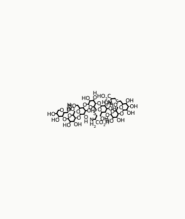 N[C@H](CSCC1O[C@@H](O[C@@H]2C(CO)O[C@H](O[C@@H]3C(CO)O[C@H](O[C@@H]4C(CO)OCC(O)[C@H]4O)C(O)[C@H]3O)[C@@H](O)C2O)[C@@H](O)C(O)[C@@H]1O[C@@H]1OC(CO)[C@@H](O[C@@H]2OC(CO)[C@@H](O[C@H]3OC(CSC[C@@H](N)C(=O)O)[C@@H](O)[C@H](O)C3O)[C@H](O)C2O)C(O)[C@@H]1O)C(=O)O